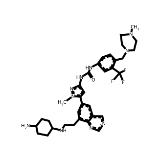 CN1CCN(Cc2ccc(NC(=O)Nc3cc(-c4cc(CCNC5CCC(N)CC5)c5ncncc5c4)n(C)n3)cc2C(F)(F)F)CC1